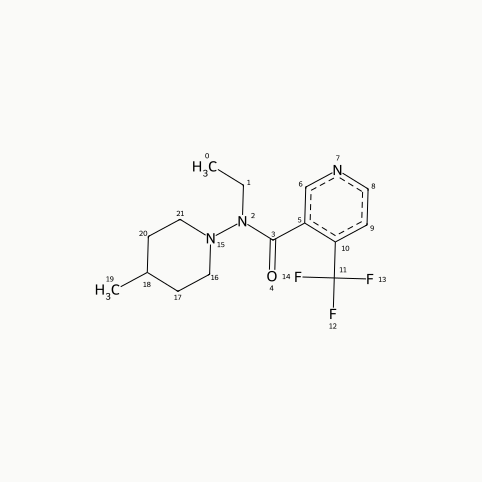 CCN(C(=O)c1cnccc1C(F)(F)F)N1CCC(C)CC1